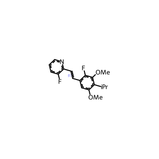 COc1cc(/C=C/c2ncccc2F)c(F)c(OC)c1C(C)C